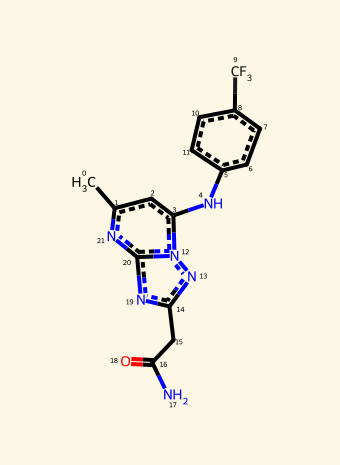 Cc1cc(Nc2ccc(C(F)(F)F)cc2)n2nc(CC(N)=O)nc2n1